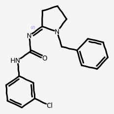 O=C(/N=C1/CCCN1Cc1ccccc1)Nc1cccc(Cl)c1